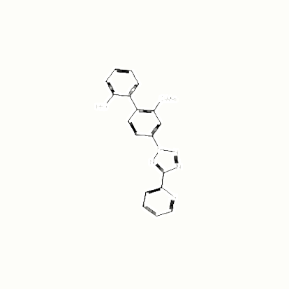 COc1cc(-n2nnc(-c3ccccn3)n2)ccc1-c1ccccc1O